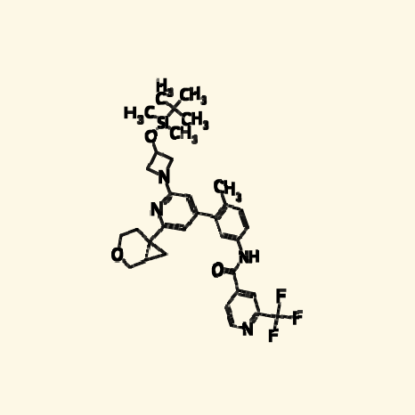 Cc1ccc(NC(=O)c2ccnc(C(F)(F)F)c2)cc1-c1cc(N2CC(O[Si](C)(C)C(C)(C)C)C2)nc(C23CCOCC2C3)c1